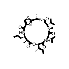 CCC[C@H]1NC(=O)c2csc(n2)[C@H](C)NC(=O)[C@H](C(C)C)N(C)C(=O)[C@H](C(C)C)NC(=O)[C@H]([C@@H](C)CC)OC(=O)[C@H]1C